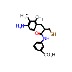 Cc1c(N)ccc(CC(CS)C(=O)Nc2cccc(C(=O)O)c2)c1C